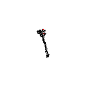 [N-]=[N+]=NCCOCCOCCOCCOCCOCCOc1cccc(C(C[N+](=O)[O-])n2c(-c3ccccc3)cc3ccccc32)c1